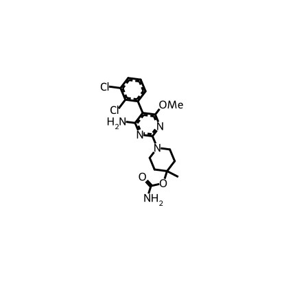 COc1nc(N2CCC(C)(OC(N)=O)CC2)nc(N)c1-c1cccc(Cl)c1Cl